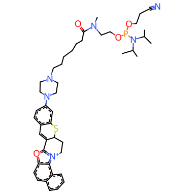 CC(C)N(C(C)C)P(OCCC#N)OCCN(C)C(=O)CCCCCCN1CCN(c2ccc3c(c2)SC2CC[n+]4c(oc5ccc6ccccc6c54)C2=C3)CC1